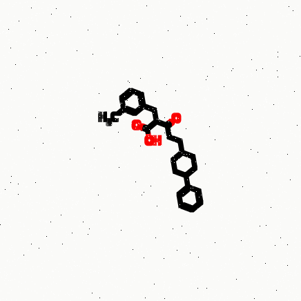 Cc1cccc(CC(C(=O)O)C(=O)CCC2CCC(c3ccccc3)CC2)c1